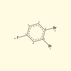 Fc1ccc(Br)c(Br)c1